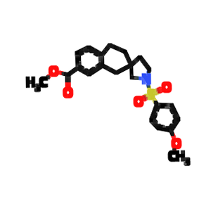 COC(=O)c1ccc2c(c1)CC1(CC2)CCN(S(=O)(=O)c2ccc(OC)cc2)C1